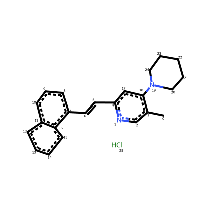 Cc1cnc(C=Cc2cccc3ccccc23)cc1N1CCCCC1.Cl